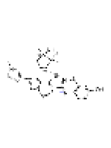 CCc1cc(O)ccc1/N=C(\N)c1cnn2cc(-c3cnn(C)c3)cc2c1N[C@@H]1CC[C@](C)(N)C1(C)C